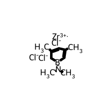 CC1=CB(N(C)C)CC(C)=C1.[Cl-].[Cl-].[Cl-].[Zr+3]